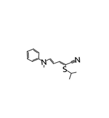 CC(C)SC(C#N)=CC=CN(C)c1ccccc1